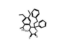 CCc1cc(C(C)O)c(C2C(O)C(=S)C(=O)OC2(CCc2ccccc2)c2ccccc2)cc1CC